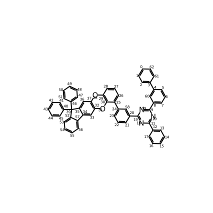 c1ccc(-c2cccc(-c3nc(-c4ccccc4)nc(-c4cccc(-c5cccc6c5Oc5cc7c(cc5O6)C(c5ccccc5)(c5ccccc5)c5ccccc5-7)c4)n3)c2)cc1